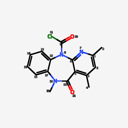 Cc1cc(C)c2c(n1)N(C(=O)Cl)c1ccccc1N(C)C2=O